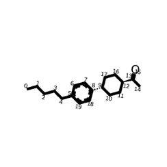 CCCCCc1ccc([C@H]2CC[C@H](C(C)=O)CC2)cc1